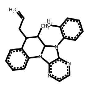 C=CCC1c2ccccc2N2c3nccnc3N(c3ccccc3C)C2C1C